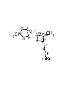 CCCCOCC[C@@H]1C[C@H](CN2CCN(C)CC2)[C@H]1C